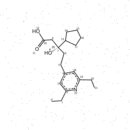 CCc1cc(CC[C@@](O)(CC(=O)O)C2CCCC2)cc(CC)n1